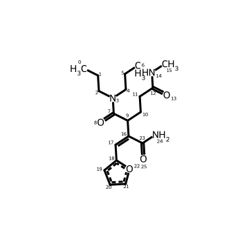 CCCN(CCC)C(=O)C(CCC(=O)NC)C(=Cc1ccco1)C(N)=O